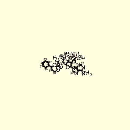 CC(C)(C)[Si](C)(C)O[C@@H]1[C@H](O[Si](C)(C)C(C)(C)C)[C@@H](COP2(=S)OCCC(c3ccccc3)O2)O[C@H]1n1cnc2c(N)ncnc21